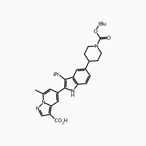 Cc1cc(-c2[nH]c3ccc(C4CCN(C(=O)OC(C)(C)C)CC4)cc3c2C(C)C)cc2c(C(=O)O)cnn12